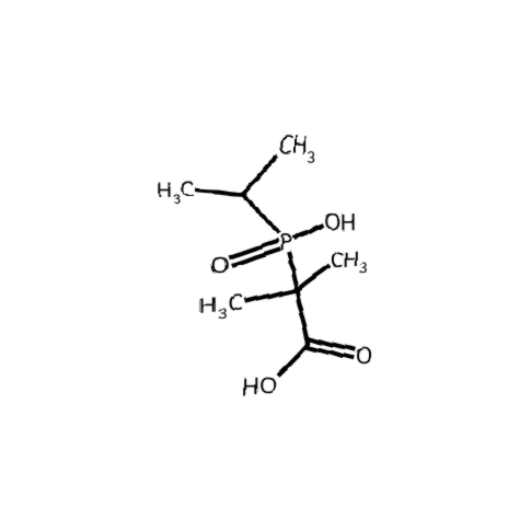 CC(C)P(=O)(O)C(C)(C)C(=O)O